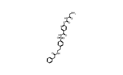 NCC(=O)NC(=O)Oc1ccc(C(=O)NS(=O)(=O)c2ccc(CCNC(=O)Cc3ccccc3)cc2)cn1